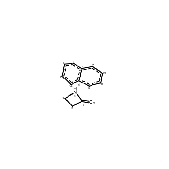 O=C1CCN1.c1ccc2ccccc2c1